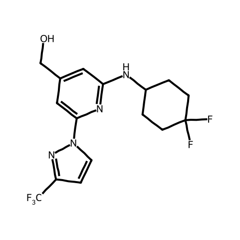 OCc1cc(NC2CCC(F)(F)CC2)nc(-n2ccc(C(F)(F)F)n2)c1